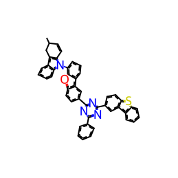 CC1C=Cc2c(c3ccccc3n2-c2cccc3c2oc2ccc(-c4nc(-c5ccccc5)nc(-c5ccc6sc7ccccc7c6c5)n4)cc23)C1